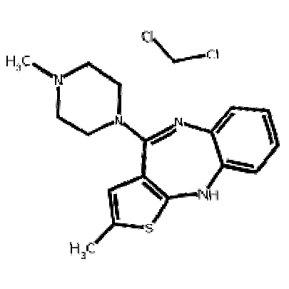 Cc1cc2c(s1)Nc1ccccc1N=C2N1CCN(C)CC1.ClCCl